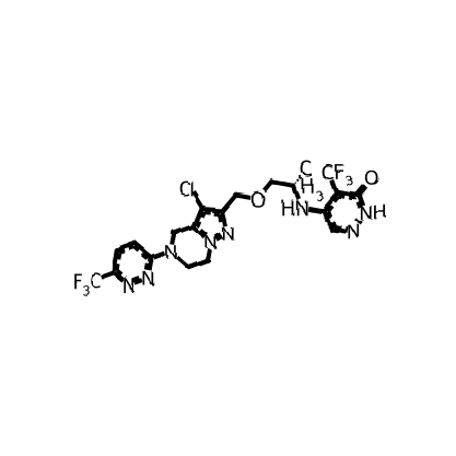 C[C@@H](COCc1nn2c(c1Cl)CN(c1ccc(C(F)(F)F)nn1)CC2)Nc1cn[nH]c(=O)c1C(F)(F)F